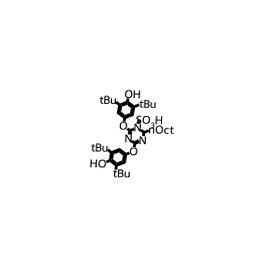 CCCCCCCCC1N=C(Oc2cc(C(C)(C)C)c(O)c(C(C)(C)C)c2)N=C(Oc2cc(C(C)(C)C)c(O)c(C(C)(C)C)c2)N1S(=O)(=O)O